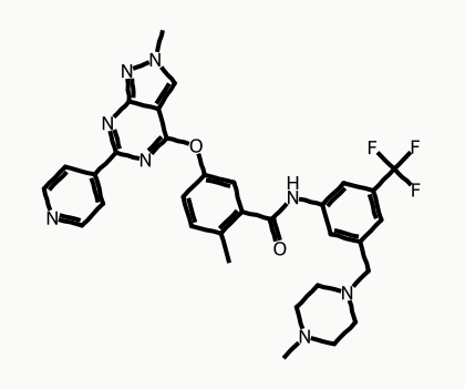 Cc1ccc(Oc2nc(-c3ccncc3)nc3nn(C)cc23)cc1C(=O)Nc1cc(CN2CCN(C)CC2)cc(C(F)(F)F)c1